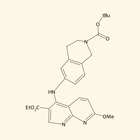 CCOC(=O)c1cnc2nc(OC)ccc2c1Nc1ccc2c(c1)CCN(C(=O)OC(C)(C)C)C2